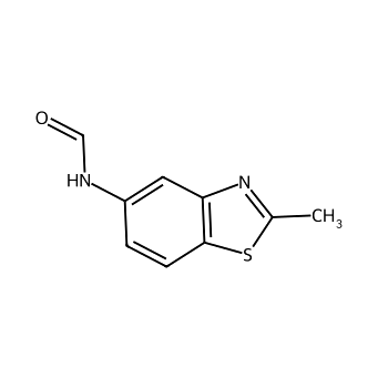 Cc1nc2cc(NC=O)ccc2s1